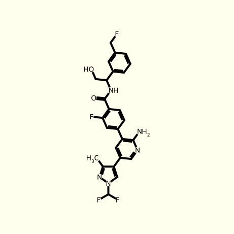 Cc1nn(C(F)F)cc1-c1cnc(N)c(-c2ccc(C(=O)NC(CO)c3cccc(CF)c3)c(F)c2)c1